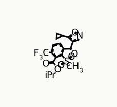 CC(C)OC(=O)c1c(C(F)(F)F)ccc(C(=O)c2cnoc2C2CC2)c1S(C)(=O)=O